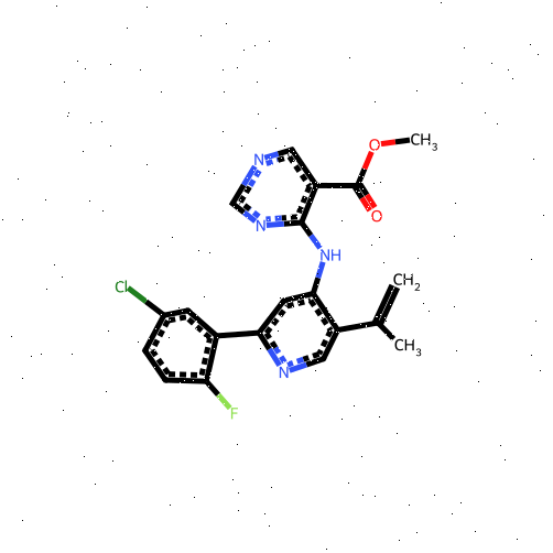 C=C(C)c1cnc(-c2cc(Cl)ccc2F)cc1Nc1ncncc1C(=O)OC